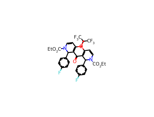 CCOC(=O)N1C=CC(OCC(F)(F)F)=C(C(=O)C2=C(OCC(F)(F)F)C=CN(C(=O)OCC)C2c2ccc(F)cc2)C1c1ccc(F)cc1